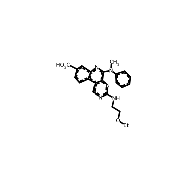 CCOCCNc1ncc2c(n1)c(N(C)c1ccccc1)nc1cc(C(=O)O)ccc12